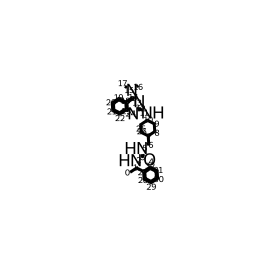 CC(NC(=O)NCC1CCC(Nc2nc(N(C)C)c3ccccc3n2)CC1)c1ccccc1